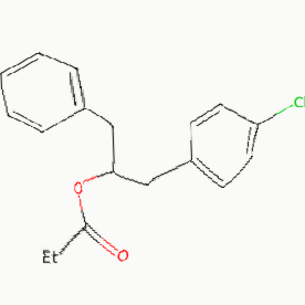 CCC(=O)OC(Cc1ccccc1)Cc1ccc(Cl)cc1